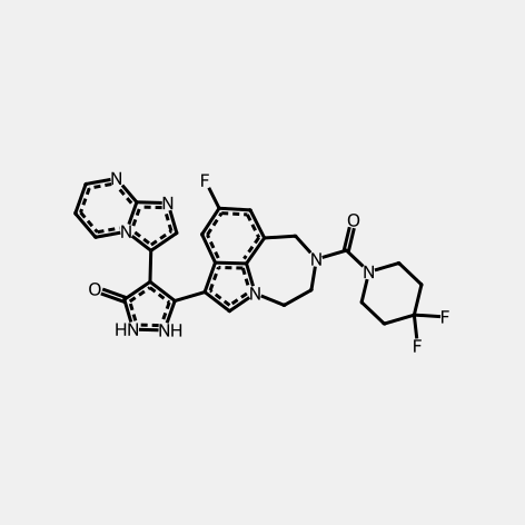 O=C(N1CCC(F)(F)CC1)N1CCn2cc(-c3[nH][nH]c(=O)c3-c3cnc4ncccn34)c3cc(F)cc(c32)C1